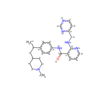 CC(CC1CCN(C)CC1)c1ccc(NC(=O)c2cccnc2NCc2ccncn2)cc1